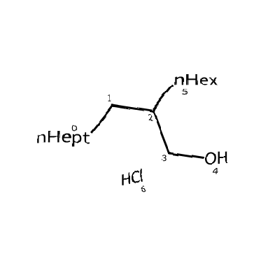 CCCCCCCCC(CO)CCCCCC.Cl